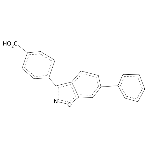 O=C(O)c1ccc(-c2noc3cc(-c4ccccc4)ccc23)cc1